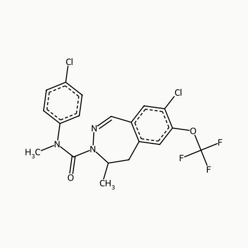 CC1Cc2cc(OC(F)(F)F)c(Cl)cc2C=NN1C(=O)N(C)c1ccc(Cl)cc1